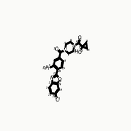 CCCc1cc(C(=O)N2CCN(C(=O)C3(O)CC3)CC2)ccc1-c1nc2ccc(Cl)cc2o1